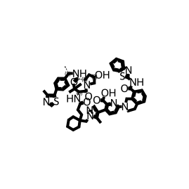 Cc1ncsc1-c1ccc([C@H](C)NC(=O)[C@@H]2C[C@@H](O)CN2C(=O)[C@@H](NC(=O)CCC2(Cn3ncc(-c4ccc(N5CCc6cccc(C(=O)Nc7nc8ccccc8s7)c6C5)nc4C(=O)O)c3C)CCCCC2)C(C)(C)C)cc1